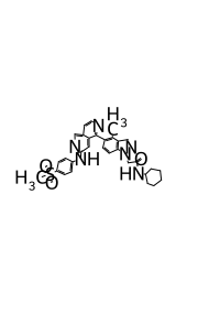 Cc1c(-c2nccc3cnc(Nc4ccc(S(C)(=O)=O)cc4)cc23)ccc2c1cnn2CC(=O)NC1CCCCC1